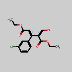 CCOC(=O)/C=C(/C(=C/O)C(=O)OCC)c1cccc(Cl)c1